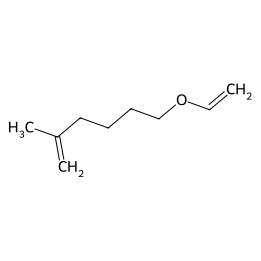 C=COCCCCC(=C)C